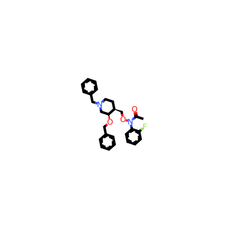 CC(=O)N(OC[C@@H]1CCN(Cc2ccccc2)C[C@@H]1OCc1ccccc1)c1ccccc1F